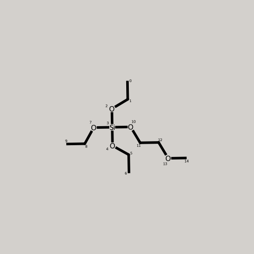 CCO[Si](OCC)(OCC)OCCOC